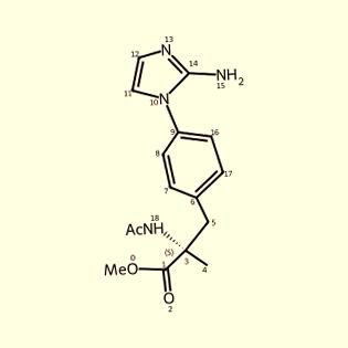 COC(=O)[C@](C)(Cc1ccc(-n2ccnc2N)cc1)NC(C)=O